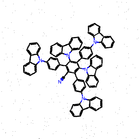 N#Cc1c(-c2ccc(-n3c4ccccc4c4ccccc43)cc2)c(-n2c3ccccc3c3ccccc32)c(-c2ccc(-n3c4ccccc4c4ccccc43)cc2)c(-n2c3ccccc3c3ccccc32)c1-c1ccc(-n2c3ccccc3c3ccccc32)cc1